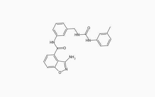 Cc1cccc(NC(=O)NCc2cccc(NC(=O)c3cccc4onc(N)c34)c2)c1